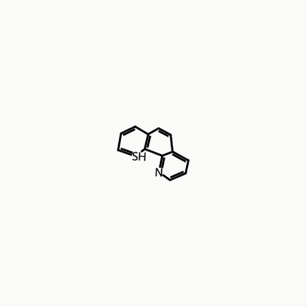 C1=Cc2ccc3cccnc3c2[SH]=C1